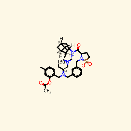 Cc1ccc(CN(Cc2cccc(CN3C(C(=O)N[C@H]4C[C@H]5C[C@@H]([C@@H]4C)C5(C)C)CCS3(=O)=O)c2)[C@H](CN(C)C)CC(C)(C)C)c(OC(=O)C(F)(F)F)c1